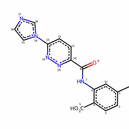 Cc1ccc(C(=O)O)c(NC(=O)c2ccc(-n3ccnc3)nn2)c1